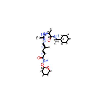 CC\C(=N/C=C(C)/C=C/C(=O)NOC1CCCCO1)NC(C)C(=O)N[C@@H](C)C1CCCCC1